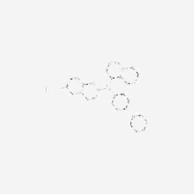 Cc1ccc2cc(N(c3ccc(-c4ccccc4)cc3)c3cccc4ccccc34)ccc2c1